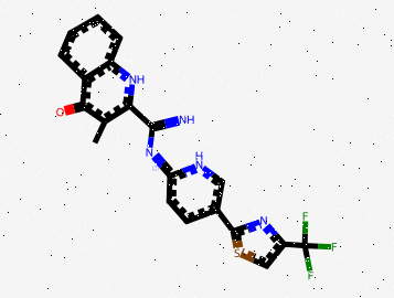 Cc1c(C(=N)/N=c2/ccc(-c3nc(C(F)(F)F)cs3)c[nH]2)[nH]c2ccccc2c1=O